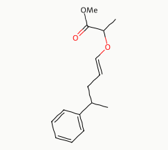 COC(=O)C(C)OC=CCC(C)c1ccccc1